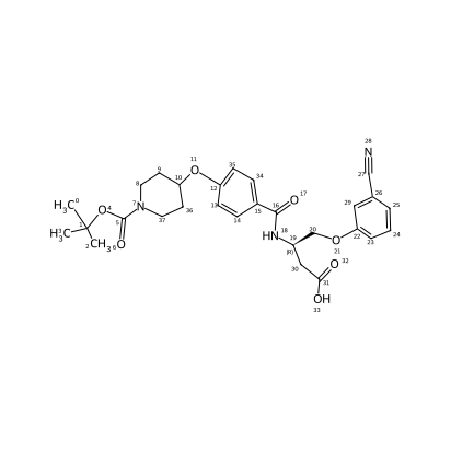 CC(C)(C)OC(=O)N1CCC(Oc2ccc(C(=O)N[C@@H](COc3cccc(C#N)c3)CC(=O)O)cc2)CC1